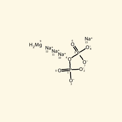 O=P([O-])([O-])OP(=O)([O-])[O-].[MgH2].[Na+].[Na+].[Na+].[Na+]